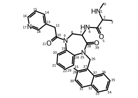 CNC(C)C(=O)NC1CN(C(=O)Cc2cccnc2)c2ccccc2N(Cc2c(C)ccc3ccccc23)C1=O